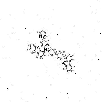 c1ccc(-c2ccc(N(c3ccc(-c4ccc(-c5cccc6c5oc5ccccc56)cn4)cc3)c3cccc4c3sc3ccccc34)cc2)nc1